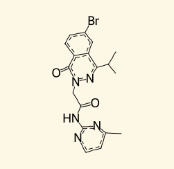 Cc1ccnc(NC(=O)Cn2nc(C(C)C)c3cc(Br)ccc3c2=O)n1